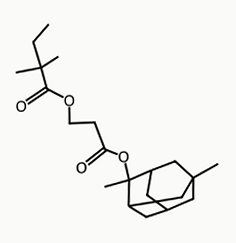 CCC(C)(C)C(=O)OCCC(=O)OC1(C)C2CC3CC1CC(C)(C3)C2